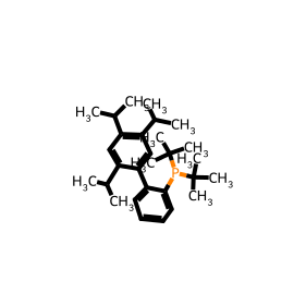 CC(C)c1cc(C(C)C)c(C(C)C)cc1-c1ccccc1P(C(C)(C)C)C(C)(C)C